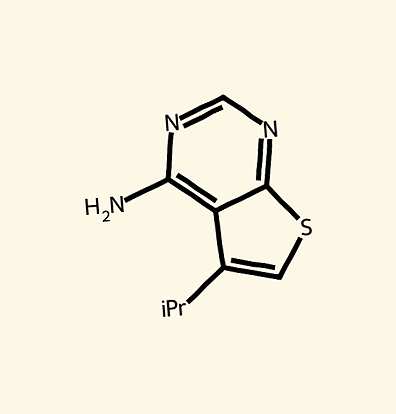 CC(C)c1csc2ncnc(N)c12